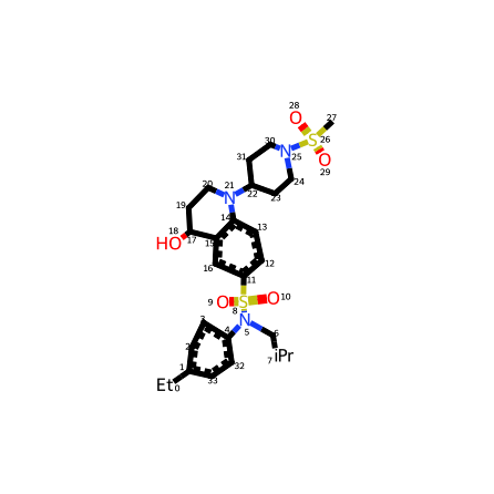 CCc1ccc(N(CC(C)C)S(=O)(=O)c2ccc3c(c2)C(O)CCN3C2CCN(S(C)(=O)=O)CC2)cc1